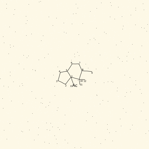 CC(=O)C12CCCC1CCC(C)C2(C)C